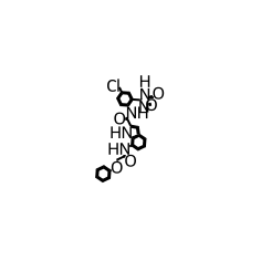 O=C(COc1ccccc1)Nc1cccc2cc(C(=O)Nc3ccc(Cl)cc3-c3noc(=O)[nH]3)[nH]c12